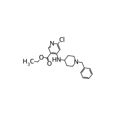 CCOC(=O)c1cnc(Cl)cc1NC1CCN(Cc2ccccc2)CC1